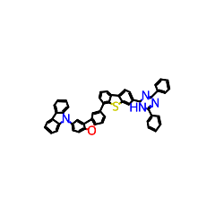 c1ccc(C2=NC(c3ccc4c(c3)sc3c(-c5ccc6oc7ccc(-n8c9ccccc9c9ccccc98)cc7c6c5)cccc34)NC(c3ccccc3)=N2)cc1